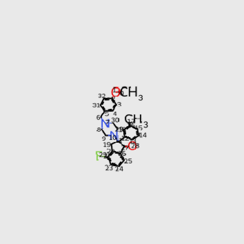 COc1ccc(CN2CCN(C3(c4cccc(C)c4)Cc4c(F)cccc4C3=O)CC2)cc1